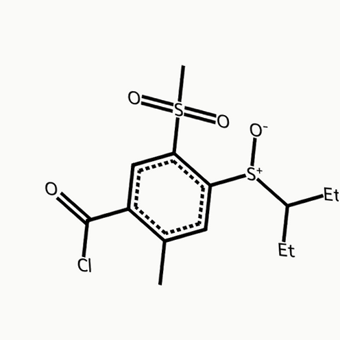 CCC(CC)[S+]([O-])c1cc(C)c(C(=O)Cl)cc1S(C)(=O)=O